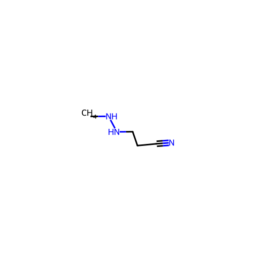 C.CNNCCC#N